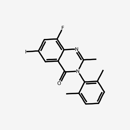 Cc1cccc(C)c1-n1c(C)nc2c(F)cc(I)cc2c1=O